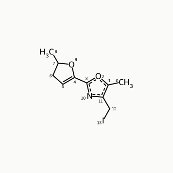 Cc1oc(C2=CCC(C)O2)nc1CI